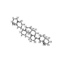 c1cnc2cc(-c3ccc4c5c3ccc3ccc6c(-c7ccc8cccnc8c7)ccc-4c6c35)ccc2c1